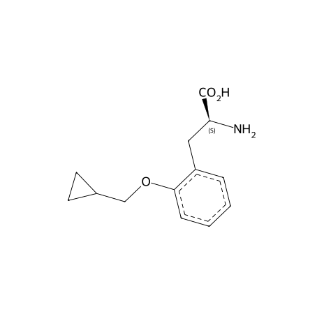 N[C@@H](Cc1ccccc1OCC1CC1)C(=O)O